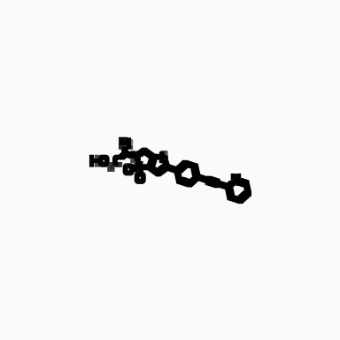 CCC(C(=O)O)N1Cc2sc(-c3ccc(C#Cc4ccccn4)cc3)cc2S1(=O)=O